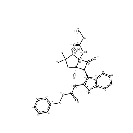 CC1(C)S[C@@H]2[C@H](c3c(NC(=O)OCc4ccccc4)[nH]c4ccccc34)C(=O)[N+]2(NC(=O)CN)[C@H]1C(=O)O